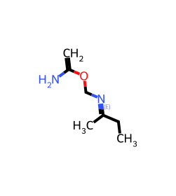 C=C(N)OC/N=C(\C)CC